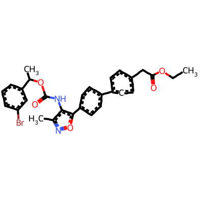 CCOC(=O)Cc1ccc(-c2ccc(-c3onc(C)c3NC(=O)OC(C)c3cccc(Br)c3)cc2)cc1